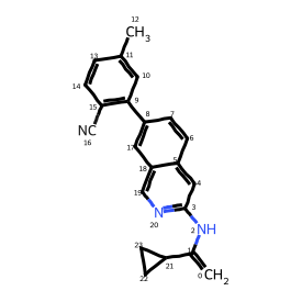 C=C(Nc1cc2ccc(-c3cc(C)ccc3C#N)cc2cn1)C1CC1